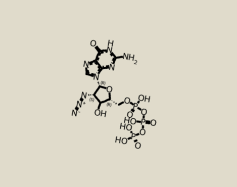 [N-]=[N+]=N[C@H]1C(O)[C@@H](COP(=O)(O)OP(=O)(O)OP(=O)(O)O)O[C@H]1n1cnc2c(=O)[nH]c(N)nc21